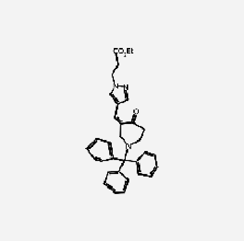 CCOC(=O)CCn1cc(/C=C2/CN(C(c3ccccc3)(c3ccccc3)c3ccccc3)CCC2=O)cn1